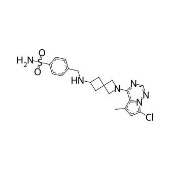 Cc1cc(Cl)n2ncnc(N3CC4(CC(NCc5ccc(S(N)(=O)=O)cc5)C4)C3)c12